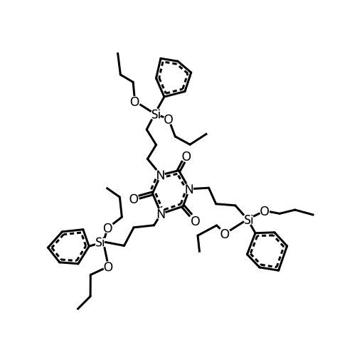 CCCO[Si](CCCn1c(=O)n(CCC[Si](OCCC)(OCCC)c2ccccc2)c(=O)n(CCC[Si](OCCC)(OCCC)c2ccccc2)c1=O)(OCCC)c1ccccc1